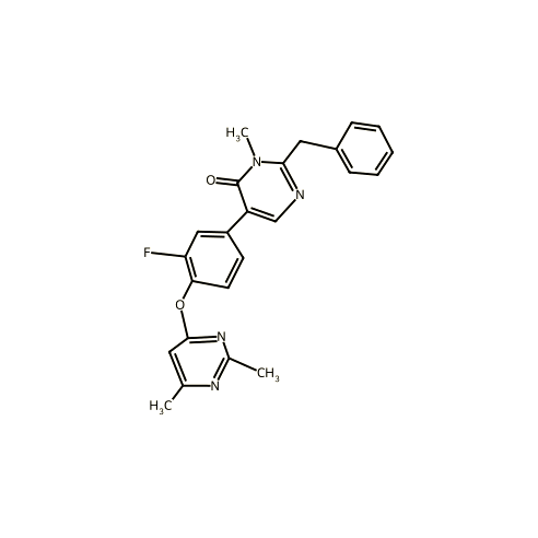 Cc1cc(Oc2ccc(-c3cnc(Cc4ccccc4)n(C)c3=O)cc2F)nc(C)n1